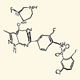 Cc1n[nH]c2nc(-c3ccc(NS(=O)(=O)c4cc(Cl)ccc4F)c(F)c3)nc(O[C@@H]3CCNC[C@@H]3F)c12